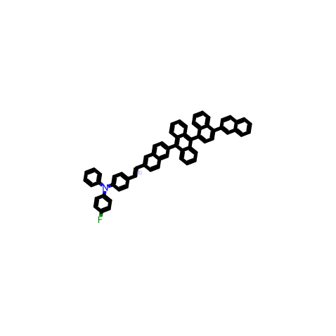 Fc1ccc(N(c2ccccc2)c2ccc(/C=C/c3ccc4cc(-c5c6ccccc6c(-c6ccc(-c7ccc8ccccc8c7)c7ccccc67)c6ccccc56)ccc4c3)cc2)cc1